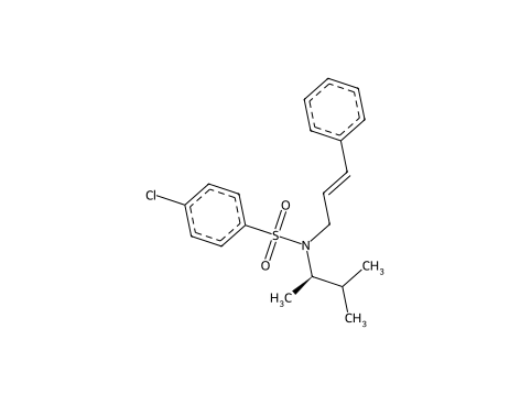 CC(C)[C@@H](C)N(CC=Cc1ccccc1)S(=O)(=O)c1ccc(Cl)cc1